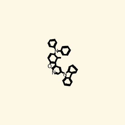 CC1c2c(oc3ncc(-n4c5ccccc5c5ccccc54)cc23)C=CC1N(c1ccccc1)c1ccccc1